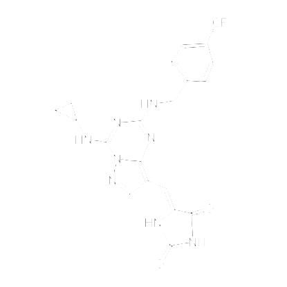 O=C1NC(=O)/C(=C/c2cnn3c(NC4CC4)nc(NCc4ccc(C(F)(F)F)cc4)nc23)N1